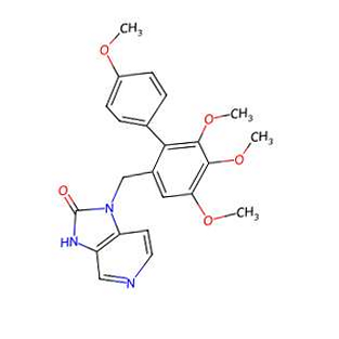 COc1ccc(-c2c(Cn3c(=O)[nH]c4cnccc43)cc(OC)c(OC)c2OC)cc1